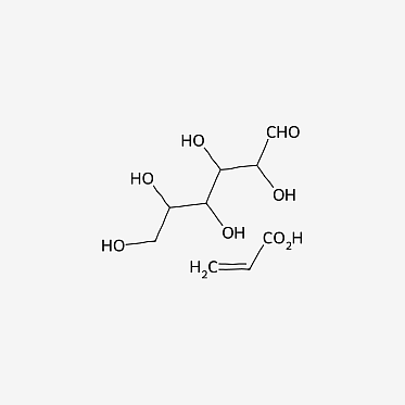 C=CC(=O)O.O=CC(O)C(O)C(O)C(O)CO